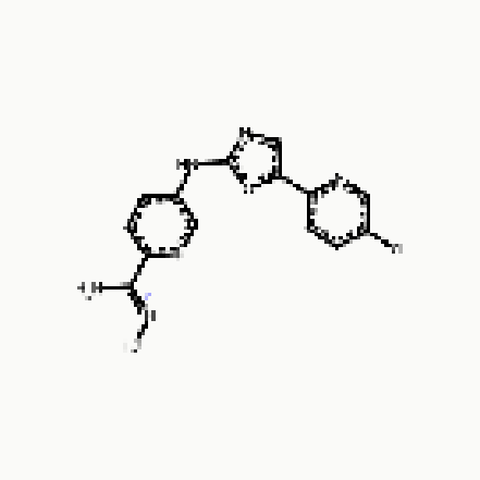 N/C(=N\O)c1ccc(Nc2ncc(-c3ccc(Cl)cn3)o2)cn1